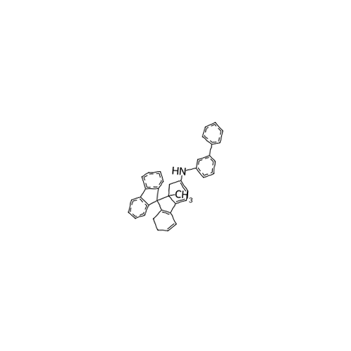 CC12CC(Nc3cccc(-c4ccccc4)c3)=CC=C1C1=C(CCC=C1)C21c2ccccc2-c2ccccc21